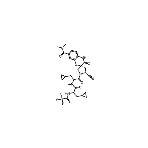 CN(C)C(=O)c1ccc2c(c1)O[C@@]1(C[C@@H](C#N)N(C(=O)C(CC3CC3)N(C)C(=O)C(CC3CC3)NC(=O)C(F)(F)F)C1)C(=O)N2